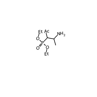 CCOP(=O)(OCC)C(C(C)=O)C(C)N